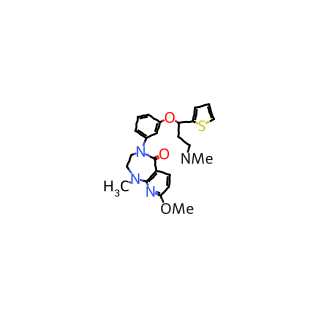 CNCCC(Oc1cccc(N2CCN(C)c3nc(OC)ccc3C2=O)c1)c1cccs1